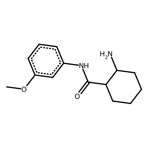 COc1cccc(NC(=O)C2CCCCC2N)c1